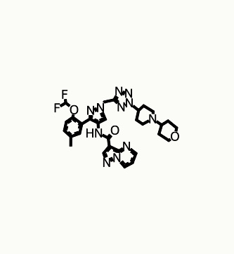 Cc1ccc(OC(F)F)c(-c2nn(Cc3nnn(C4CCN(C5CCOCC5)CC4)n3)cc2NC(=O)c2cnn3cccnc23)c1